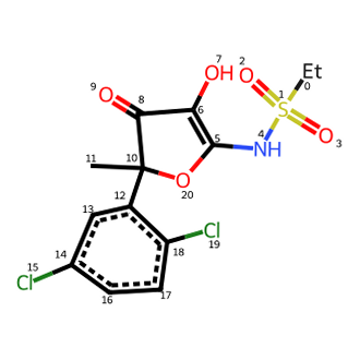 CCS(=O)(=O)NC1=C(O)C(=O)C(C)(c2cc(Cl)ccc2Cl)O1